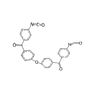 O=C=Nc1ccc(C(=O)c2ccc(Oc3ccc(C(=O)c4ccc(N=C=O)cc4)cc3)cc2)cc1